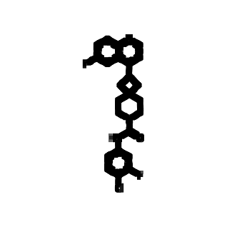 O=C(Nc1ccc(Cl)c(F)c1)N1CCC2(CC1)CC(c1ccnc3ccc(F)cc13)C2